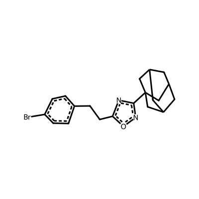 Brc1ccc(CCc2nc(C34CC5CC(CC(C5)C3)C4)no2)cc1